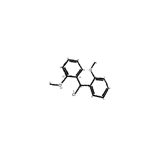 COc1ccccc1C(Cl)c1ccccc1OC